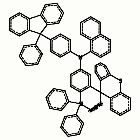 c1ccc(C2(c3ccc(N(c4ccc5c(c4)C4(c6ccccc6Sc6ccccc64)c4ccccc4[Si]5(c4ccccc4)c4ccccc4)c4cccc5ccccc45)cc3)c3ccccc3-c3ccccc32)cc1